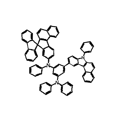 c1ccc(N(c2ccccc2)c2cc(-c3ccc4c(c3)c3c5ccccc5ccc3n4-c3ccccc3)cc(N(c3ccccc3)c3ccc4c(c3)C3(c5ccccc5-c5ccccc53)c3ccc5ccccc5c3-4)c2)cc1